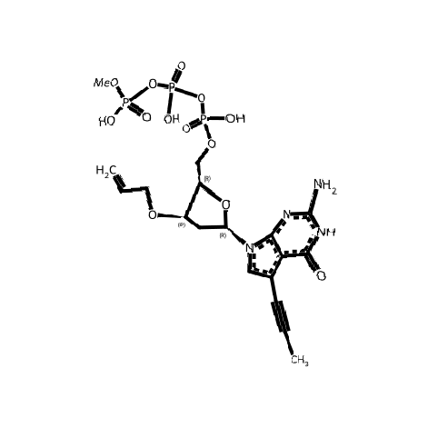 C=CCO[C@@H]1C[C@H](n2cc(C#CC)c3c(=O)[nH]c(N)nc32)O[C@@H]1COP(=O)(O)OP(=O)(O)OP(=O)(O)OC